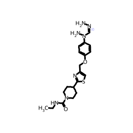 CCNC(=O)N1CCC(c2nc(COc3ccc(N(N)/C=N\N)cc3)cs2)CC1